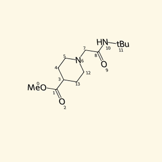 COC(=O)C1CCN(CC(=O)NC(C)(C)C)CC1